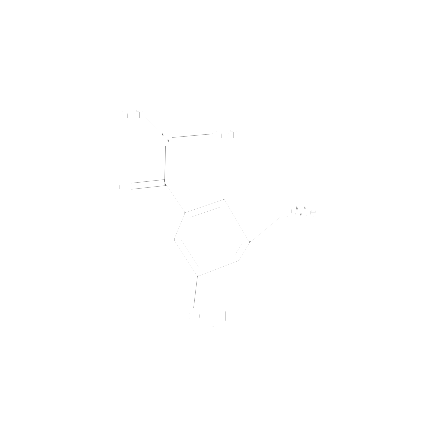 CCCN(CCC)C(=O)c1cc(OC)cc(C(=O)O)c1